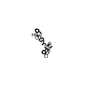 C=C(Cn1cc(-c2cccc(Cl)c2OC)c(=O)n(CC)c1=O)N1CCC(N2CCc3ccccc3NC2=O)CC1